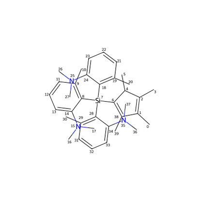 CC1=C(C)C(C)C([Si](c2c(C)cccc2N(C)C)(c2c(C)cccc2N(C)C)c2c(C)cccc2N(C)C)=C1C